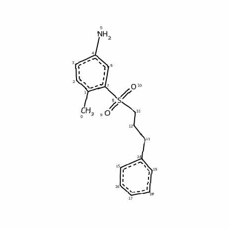 Cc1ccc(N)cc1S(=O)(=O)CCCc1ccccc1